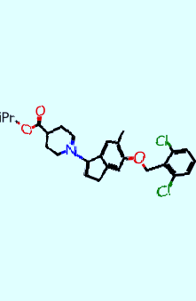 Cc1cc2c(cc1OCc1c(Cl)cccc1Cl)CCC2N1CCC(C(=O)OC(C)C)CC1